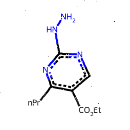 CCCc1nc(NN)ncc1C(=O)OCC